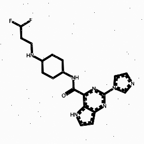 O=C(NC1CCC(NCCC(F)F)CC1)c1nc(-n2ccnc2)nc2cc[nH]c12